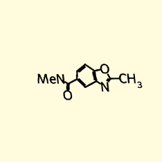 CNC(=O)c1ccc2oc(C)nc2c1